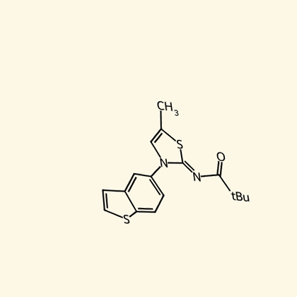 Cc1cn(-c2ccc3sccc3c2)c(=NC(=O)C(C)(C)C)s1